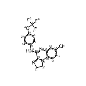 FC(F)(F)Oc1ccc(NC2=Nc3cc(Cl)ccc3N3CCN=C23)cc1